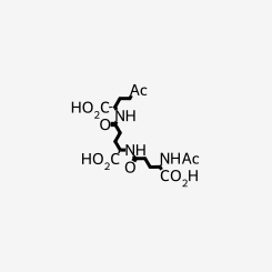 CC(=O)CC[C@H](NC(=O)CC[C@H](NC(=O)CC[C@H](NC(C)=O)C(=O)O)C(=O)O)C(=O)O